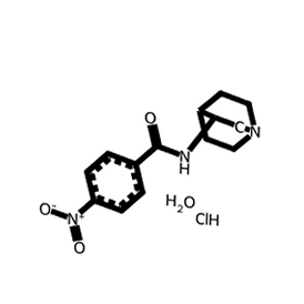 Cl.O.O=C(NC1CN2CCC1CC2)c1ccc([N+](=O)[O-])cc1